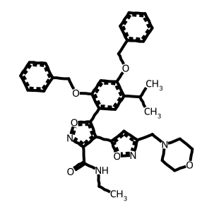 CCNC(=O)c1noc(-c2cc(C(C)C)c(OCc3ccccc3)cc2OCc2ccccc2)c1-c1cc(CN2CCOCC2)no1